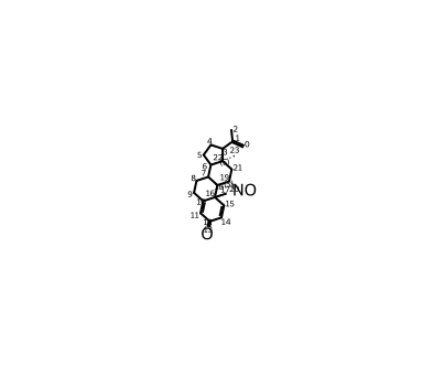 C=C(C)C1CCC2C3CCC4=CC(=O)C=CC4(C)C3[C@@H](N=O)C[C@]12C